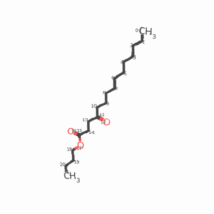 CCCCCCCCCCCC(=O)CCC(=O)OCCCC